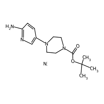 CC(C)(C)OC(=O)N1CCN(c2ccc(N)nc2)CC1.[N]